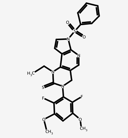 CCN1C(=S)N(c2c(F)c(OC)cc(OC)c2F)Cc2cnc3c(ccn3S(=O)(=O)c3ccccc3)c21